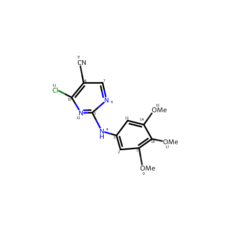 COc1cc(Nc2ncc(C#N)c(Cl)n2)cc(OC)c1OC